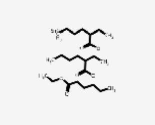 CCCCC(CC)C(=O)[O-].CCCCC(CC)C(=O)[O-].CCCCCC(=O)OCC.[Sn+2]